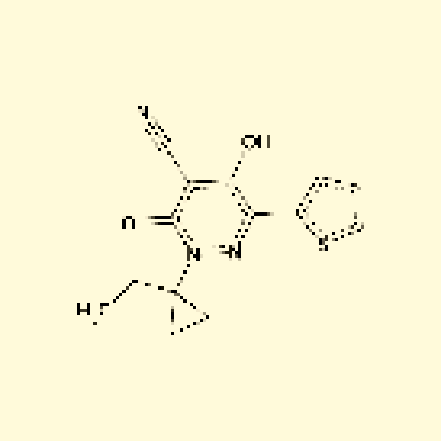 CCC1(n2nc(-c3cccs3)c(O)c(C#N)c2=O)CC1